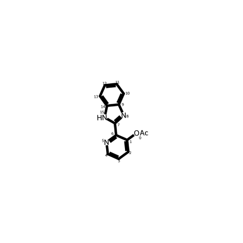 CC(=O)Oc1cccnc1-c1nc2ccccc2[nH]1